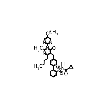 CCCCc1nc(C)n(-c2ncc(OC)cn2)c(=O)c1Cc1ccc(-c2ccccc2S(=O)(=O)NC(=O)C2CC2)cc1